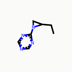 CCC1CN1c1ncncn1